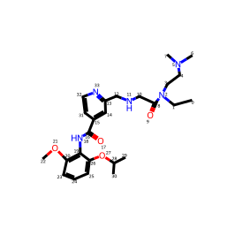 CCN(CCN(C)C)C(=O)CNCc1cc(C(=O)Nc2c(OC)cccc2OC(C)C)ccn1